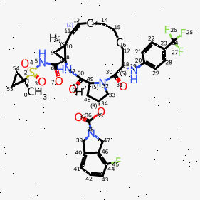 CC1(S(=O)(=O)NC(=O)[C@@]23C[C@H]2/C=C\CCCCC[C@H](Nc2ccc(C(F)(F)F)cc2)C(=O)N2C[C@H](OC(=O)N4Cc5cccc(F)c5C4)C[C@H]2C(=O)N3)CC1